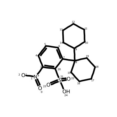 O=[N+]([O-])c1cccc(C2(C3CCCCC3)CCCCC2)c1S(=O)(=O)O